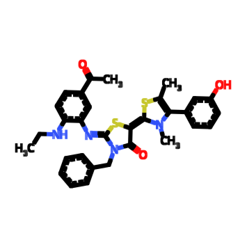 CCNc1ccc(C(C)=O)cc1N=C1SC(=C2SC(C)=C(c3cccc(O)c3)N2C)C(=O)N1Cc1ccccc1